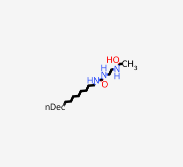 CCCCCCCCCCCCCCCCCCNC(=O)NCCNC(C)O